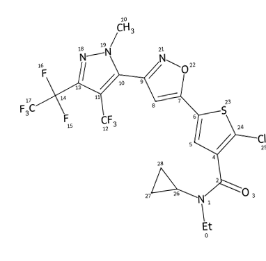 CCN(C(=O)c1cc(-c2cc(-c3c(C(F)(F)F)c(C(F)(F)C(F)(F)F)nn3C)no2)sc1Cl)C1CC1